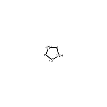 [C]1NCSN1